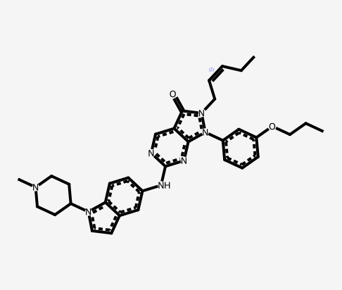 CC/C=C\Cn1c(=O)c2cnc(Nc3ccc4c(ccn4C4CCN(C)CC4)c3)nc2n1-c1cccc(OCCC)c1